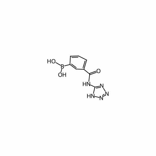 O=C(Nc1nnn[nH]1)c1cccc(B(O)O)c1